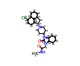 CNC(=O)Cn1c(=O)n(C2CCN([C@@H]3Cc4cccc5c(Cl)ccc3c45)CC2)c2ccccc21